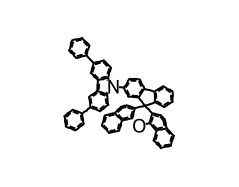 c1ccc(-c2ccc3c(c2)c2cc(-c4ccccc4)ccc2n3-c2ccc3c(c2)C2(c4ccccc4-3)c3ccc4ccccc4c3Oc3c2ccc2ccccc32)cc1